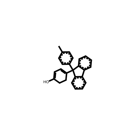 Cc1ccc(C2(C3=CC=C(O)CC3)c3ccccc3-c3ccccc32)cc1